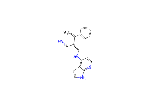 C=C(/C(C=N)=C/Nc1ccnc2[nH]ccc12)c1ccccc1